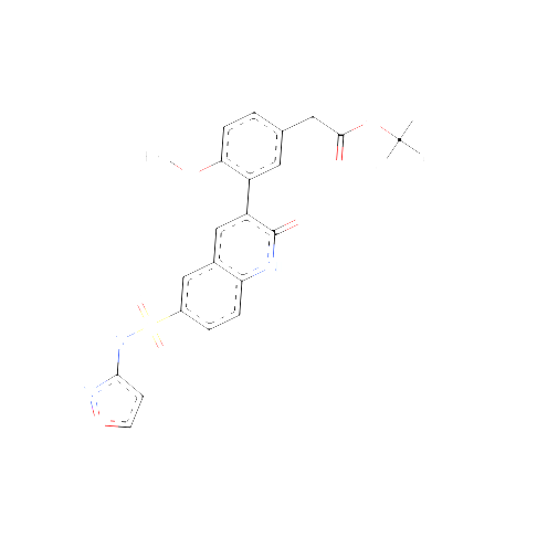 COc1ccc(CC(=O)OC(C)(C)C)cc1-c1cc2cc(S(=O)(=O)Nc3ccon3)ccc2[nH]c1=O